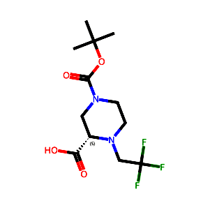 CC(C)(C)OC(=O)N1CCN(CC(F)(F)F)[C@H](C(=O)O)C1